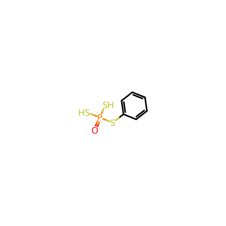 O=P(S)(S)Sc1ccccc1